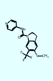 CSc1cc2c(cc1C(F)(F)F)N(C(=O)Nc1ccncc1)CC2